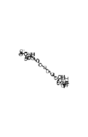 O=C(N[C@H]1[C@H]2OC[C@](COCCOCCOCCOCCOCCOCCOCCNc3ccc([N+](=O)[O-])cc3[N+](=O)[O-])(O2)[C@H](O)[C@@H]1O)C(F)(F)F